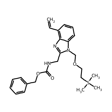 C=Cc1cccc2c1nc(CNC(=O)OCc1ccccc1)n2COCCS(C)(C)C